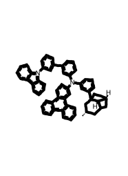 C[C@H]1CC2C[C@H]3CC(c4cccc(N(c5cccc(-c6cccc(-n7c8ccccc8c8ccccc87)c6)c5)c5ccc6c7ccccc7c7ccccc7c6c5)c4)(C1)[C@@H]23